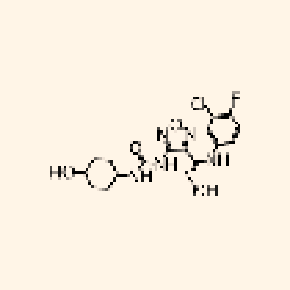 O=C(Nc1nonc1/C(=N/O)Nc1ccc(F)c(Cl)c1)NC1CCC(O)CC1